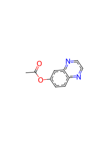 CC(=O)Oc1ccc2nccnc2c1